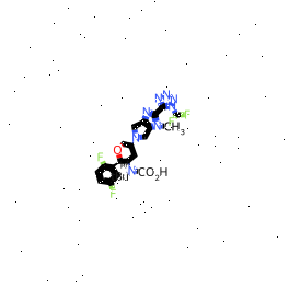 Cn1c(-c2nnnn2C(F)F)nc2c1CN([C@H]1CO[C@H](c3cc(F)ccc3F)[C@@H](N(C(=O)O)C(C)(C)C)C1)C2